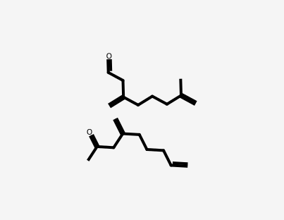 C=C(C)CCCC(=C)CC=O.C=CCCCC(=C)CC(C)=O